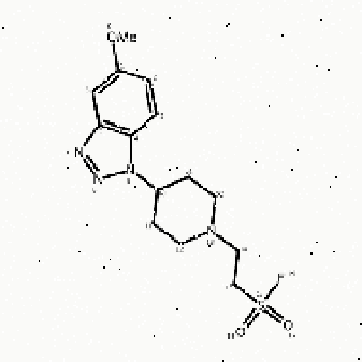 COc1ccc2c(c1)nnn2C1CCN(CCS(=O)(=O)F)CC1